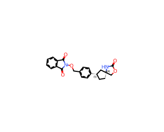 O=C1N[C@@]2(CC[C@H](c3ccc(CON4C(=O)c5ccccc5C4=O)cc3)C2)CO1